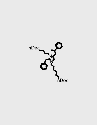 CCCCCCCCCCCCCCCCn1cc(CC(C)c2ccccc2)[n+](CCCCCCCCCCCCCC)c1Cc1ccccc1